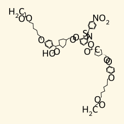 C=CC(=O)OCCCCCCOc1ccc(OOC[C@H]2CC[C@@H](C(=O)Oc3ccc(OOCC4CCC(C(OO)c5ccc(OCCCCCCOC(=O)C=C)cc5)CC4)c4sc(-c5ccc([N+](=O)[O-])cc5)nc34)CC2)cc1